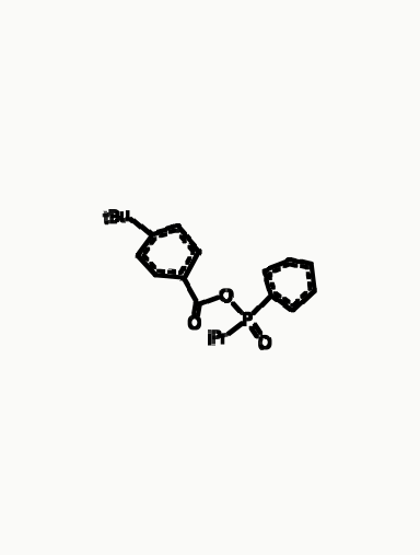 CC(C)P(=O)(OC(=O)c1ccc(C(C)(C)C)cc1)c1ccccc1